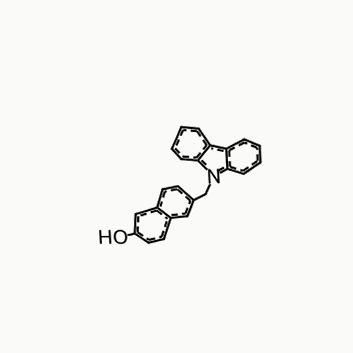 Oc1ccc2cc(Cn3c4ccccc4c4ccccc43)ccc2c1